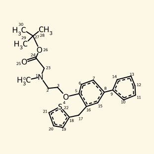 CN(CCOc1ccc(-c2ccccc2)cc1Cc1cccs1)CC(=O)OC(C)(C)C